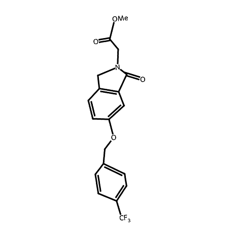 COC(=O)CN1Cc2ccc(OCc3ccc(C(F)(F)F)cc3)cc2C1=O